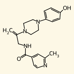 C=C(CNC(=O)c1ccnc(C)c1)N1CCN(c2ccc(O)cc2)CC1